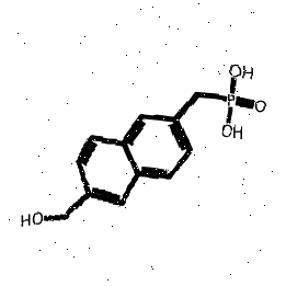 O=P(O)(O)Cc1ccc2cc(CO)ccc2c1